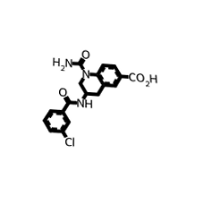 NC(=O)N1CC(NC(=O)c2cccc(Cl)c2)Cc2cc(C(=O)O)ccc21